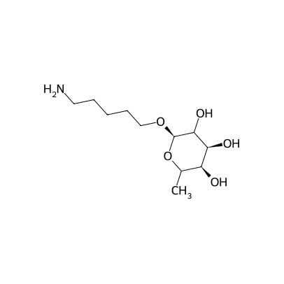 CC1O[C@@H](OCCCCCN)C(O)[C@@H](O)[C@H]1O